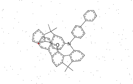 CC1(C)c2ccccc2-c2ccc(N(c3ccc(-c4ccccc4)cc3)c3cccc4c3-c3c(ccc5c3oc3ccccc35)C4(C)C)cc21